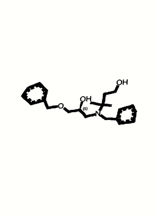 CC(C)(CCO)N(Cc1ccccc1)C[C@H](O)COCc1ccccc1